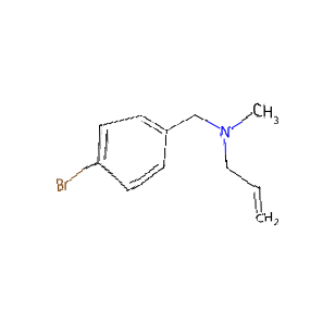 C=CCN(C)Cc1ccc(Br)cc1